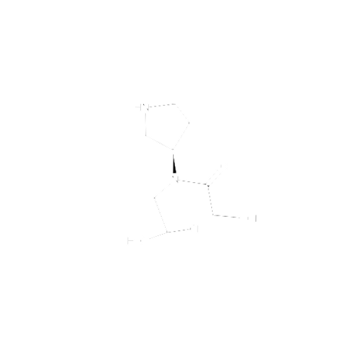 CC(C)CN(C(=O)CO)[C@@H]1CCNC1